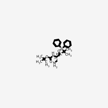 CC(C)(C)OC(=O)N[C@@H](CN)CO[Si](c1ccccc1)(c1ccccc1)C(C)(C)C